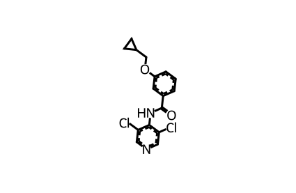 O=C(Nc1c(Cl)cncc1Cl)c1cccc(OCC2CC2)c1